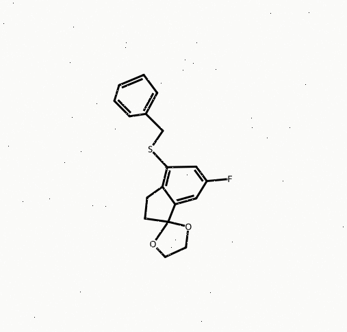 Fc1cc(SCc2ccccc2)c2c(c1)C1(CC2)OCCO1